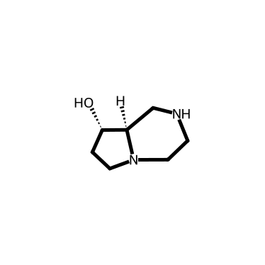 O[C@H]1CCN2CCNC[C@H]12